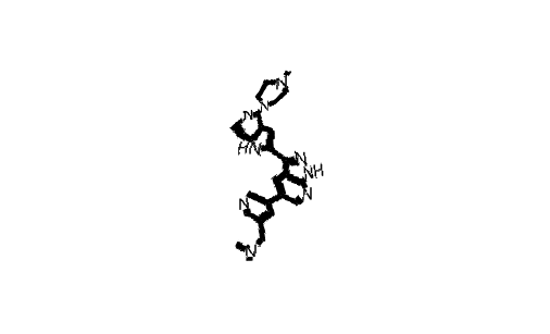 CN(C)Cc1cncc(-c2cnc3[nH]nc(-c4cc5c(N6CCN(C)CC6)nccc5[nH]4)c3c2)c1